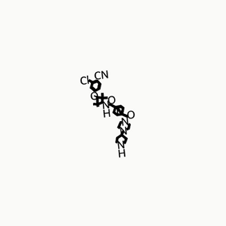 CC1(C)[C@H](NC(=O)C23CCC(C(=O)N4CCN(C5CCNCC5)CC4)(CC2)CC3)C(C)(C)[C@H]1Oc1ccc(C#N)c(Cl)c1